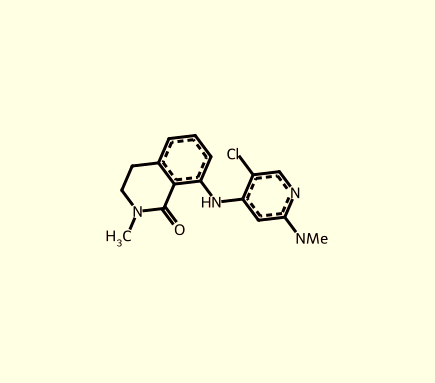 CNc1cc(Nc2cccc3c2C(=O)N(C)CC3)c(Cl)cn1